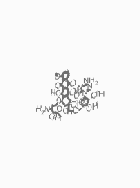 COc1cccc2c1C(=O)c1c(O)c3c(c(O)c1C2=O)C[C@@](O)(C(C)=O)C[C@@H]3OC1CC(N)C(O)C(C)O1.Cl.Nc1ncn([C@H]2C[C@H](O)[C@@H](CO)O2)c(=O)n1